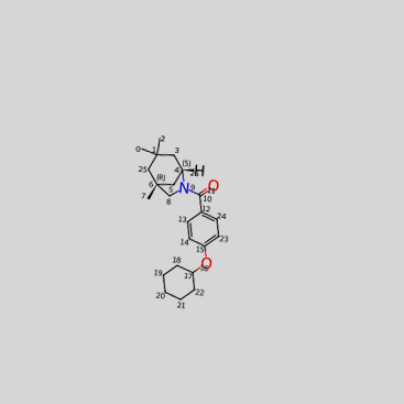 CC1(C)C[C@H]2C[C@](C)(CN2C(=O)c2ccc(OC3CCCCC3)cc2)C1